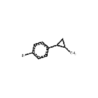 CC1CC1c1ccc(Br)cc1